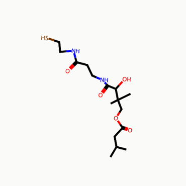 CC(C)CC(=O)OCC(C)(C)C(O)C(=O)NCCC(=O)NCCS